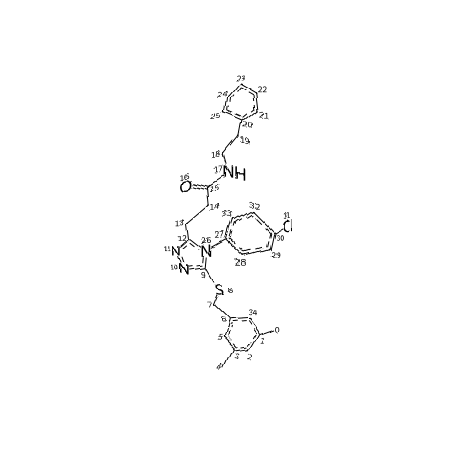 Cc1cc(C)cc(CSc2nnc(CCC(=O)NCCc3ccccc3)n2-c2ccc(Cl)cc2)c1